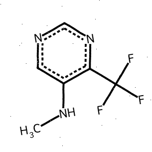 CNc1cncnc1C(F)(F)F